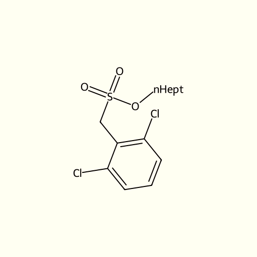 CCCCCCCOS(=O)(=O)Cc1c(Cl)cccc1Cl